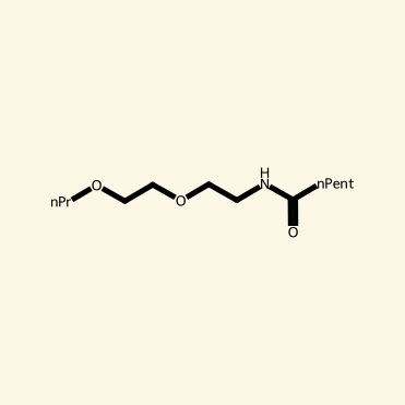 CCCCCC(=O)NCCOCCOCCC